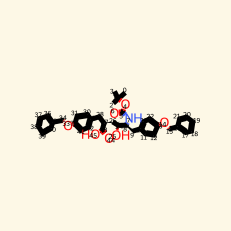 CC(C)(C)OC(=O)N[C@@H](Cc1ccc(OCc2ccccc2)cc1)[C@@H](O)C[C@@H](Cc1ccc(OCc2ccccc2)cc1)C(=O)O